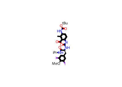 COc1c(I)cc(C[C@H](Nc2nc3ccc(NC(=O)OC(C)(C)C)c(C)c3c(=O)o2)C(=O)NC(C)C)cc1I